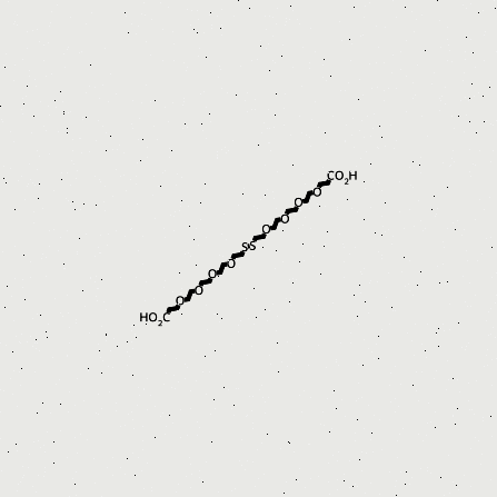 O=C(O)CCOCCOCCOCCOCCSSCCOCCOCCOCCOCCC(=O)O